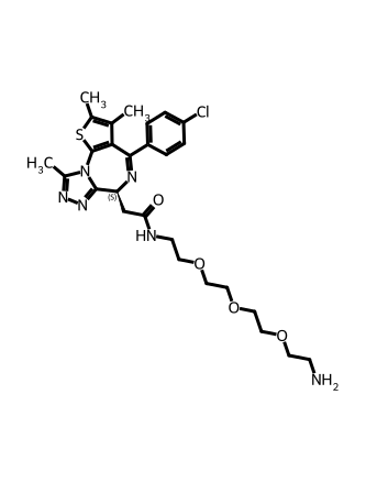 Cc1sc2c(c1C)C(c1ccc(Cl)cc1)=N[C@@H](CC(=O)NCCOCCOCCOCCN)c1nnc(C)n1-2